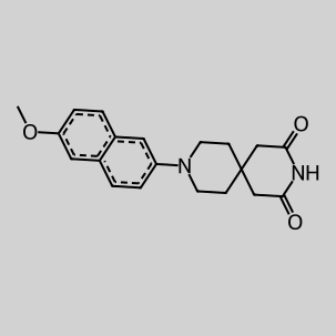 COc1ccc2cc(N3CCC4(CC3)CC(=O)NC(=O)C4)ccc2c1